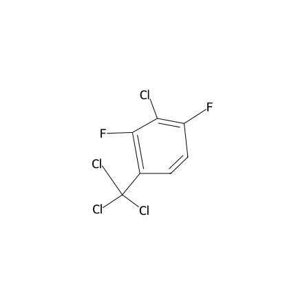 Fc1ccc(C(Cl)(Cl)Cl)c(F)c1Cl